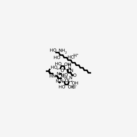 CC(C)=CCNc1ncnc2c1ncn2[C@@H]1O[C@H](CO)[C@@H](O)[C@H]1O.CCCCCCCCCCCCCCC[C@H](O)[C@@H](N)CO.Cl.NC(=O)c1n[nH]c([C@@H]2O[C@H](CO)[C@@H](O)[C@H]2O)c1O.[Cl-].[H+]